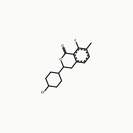 CCC1CCC(C2Cc3ccc(C)c(F)c3C(=O)O2)CC1